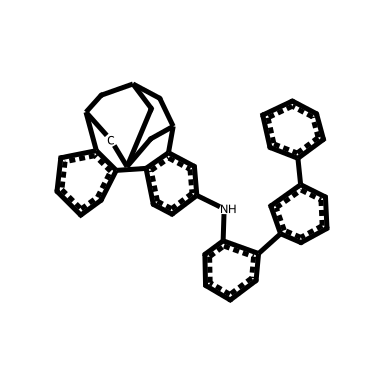 c1ccc(-c2cccc(-c3ccccc3Nc3ccc4c(c3)C3CC5CC(CC(C5)c5ccccc5-4)C3)c2)cc1